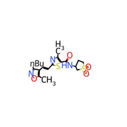 CCCCc1noc(C)c1/C=C/c1nc(C)c(C(=O)NC2CCS(=O)(=O)C2)s1